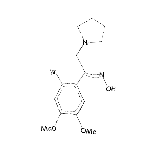 COc1cc(Br)c(/C(CN2CCCC2)=N\O)cc1OC